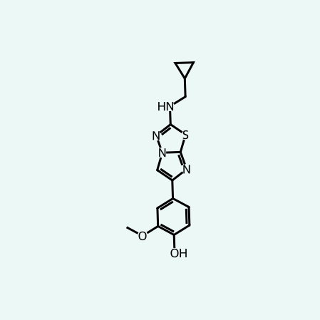 COc1cc(-c2cn3nc(NCC4CC4)sc3n2)ccc1O